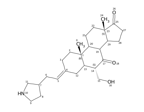 C[C@]12CCC(=CCC3CCNC3)CC1[C@@H](CO)C(=O)C1C2CC[C@]2(C)C(=O)CCC12